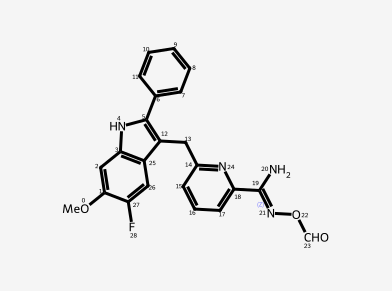 COc1cc2[nH]c(-c3ccccc3)c(Cc3cccc(/C(N)=N/OC=O)n3)c2cc1F